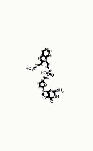 Nc1nc2c(ncn2[C@H]2CC[C@@H](COP(=O)(O)OCCn3c(COC(=O)O)nc4cncnc43)O2)c(=O)[nH]1